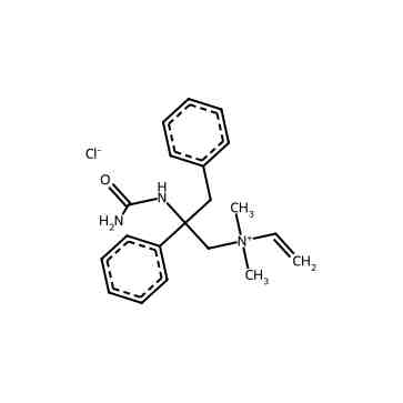 C=C[N+](C)(C)CC(Cc1ccccc1)(NC(N)=O)c1ccccc1.[Cl-]